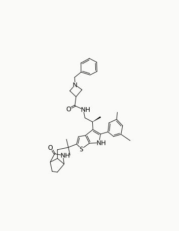 Cc1cc(C)cc(-c2[nH]c3sc(C(C)(C)CC4C5CCC4C(=O)N5)cc3c2[C@H](C)CNC(=O)C2CN(Cc3ccccc3)C2)c1